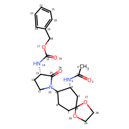 CC(=O)N[C@@H]1CC2(CCC1N1CC[C@H](NC(=O)OCc3ccccc3)C1=O)OCCO2